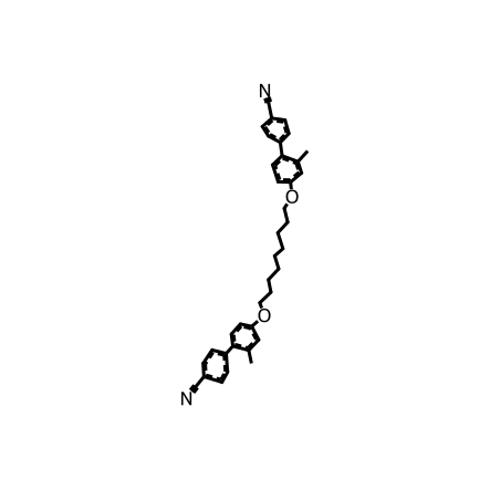 Cc1cc(OCCCCCCCCCOc2ccc(-c3ccc(C#N)cc3)c(C)c2)ccc1-c1ccc(C#N)cc1